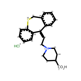 Cl.O=C(O)C1CCN(CC=C2c3ccccc3CSc3ccccc32)CC1